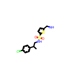 CC(CNS(=O)(=O)c1ccc(C[NH])s1)c1ccc(Cl)cc1